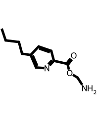 CCCCc1ccc(C(=O)OCN)nc1